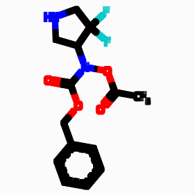 O=C(OCc1ccccc1)N(OC(=O)C(F)(F)F)C1CNCC1(F)F